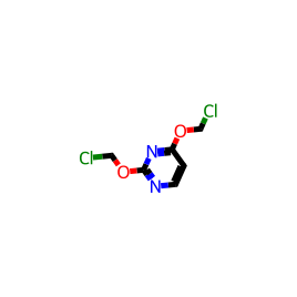 ClCOc1ccnc(OCCl)n1